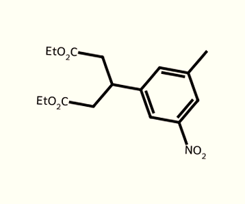 CCOC(=O)CC(CC(=O)OCC)c1cc(C)cc([N+](=O)[O-])c1